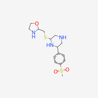 CS(=O)(=O)c1ccc(C2CNCC(SCC3NCCO3)N2)cc1